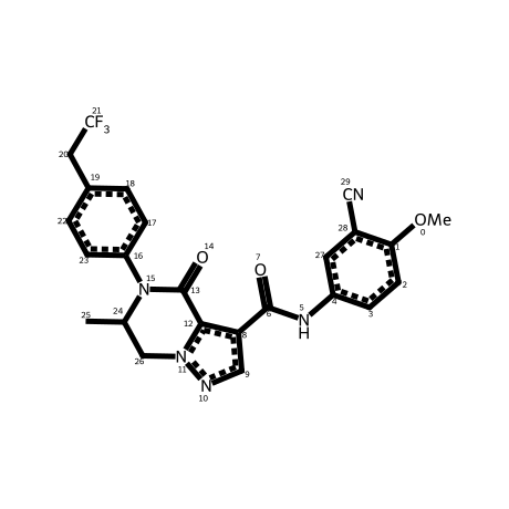 COc1ccc(NC(=O)c2cnn3c2C(=O)N(c2ccc(CC(F)(F)F)cc2)C(C)C3)cc1C#N